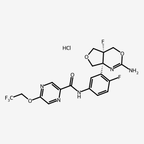 Cl.NC1=N[C@@]2(c3cc(NC(=O)c4cnc(OCC(F)(F)F)cn4)ccc3F)COC[C@@]2(F)CO1